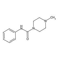 CN1CCN(C(=O)Nc2ccccc2)CC1